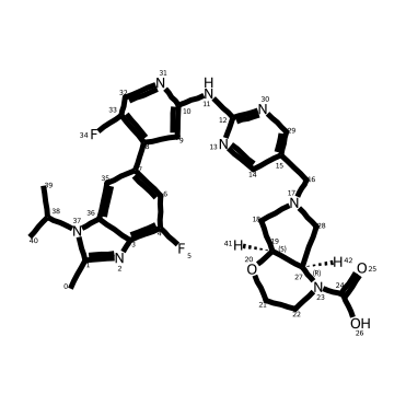 Cc1nc2c(F)cc(-c3cc(Nc4ncc(CN5C[C@@H]6OCCN(C(=O)O)[C@@H]6C5)cn4)ncc3F)cc2n1C(C)C